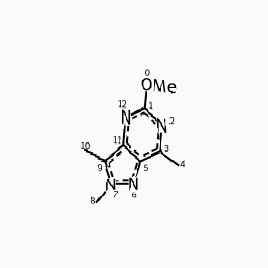 COc1nc(C)c2nn(C)c(C)c2n1